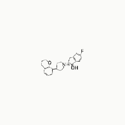 O[C@@H]1c2ccc(F)cc2C[C@H]1N1CCC(c2cccc3c2OCCC3)CC1